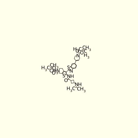 CC(C)NC1CC(C(=O)Nc2sc3c(c2-c2nc4ccc(C5=CCN(C(=O)OC(C)(C)C)CC5)cc4s2)CCN(C(=O)OC(C)(C)C)C3)C1